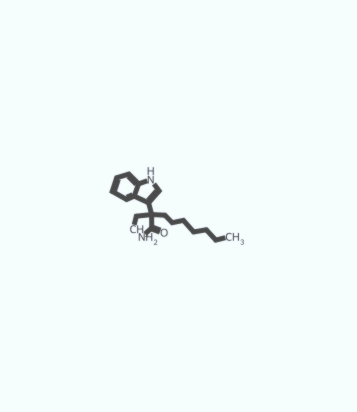 CCCCCCCC(CC)(C(N)=O)c1c[nH]c2ccccc12